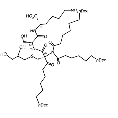 CCCCCCCCCCCCCCCC(=O)N(C(=O)CCCCCCCCCCCCCCC)[C@@](CSCC(O)CO)(C(=O)CCCCCCCCCCCCCCC)C(=O)N[C@@H](CO)C(=O)N[C@@H](CCCCN)C(=O)O